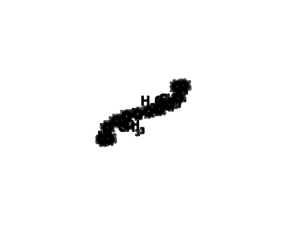 CC1(C)c2cc(-c3ccc(-c4ccc(-c5ccc6c(c5)C(C)(C)c5cc(-c7cccc(-c8cccc9cccnc89)c7)ccc5-6)cc4)cc3)ccc2-c2ccc(-c3cccc(-c4cccc5cccnc45)c3)cc21